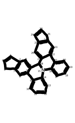 C1=Cc2cc3c(cc2C1)-c1ccccc1N1c2ccccc2-c2cc4c(cc2C31)C=CC4